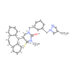 O=C(O)c1cnn(Cc2cccc(Cn3cc(C4c5ccccc5C=Cc5ccccc54)c(=S)n(C(=O)O)c3=O)c2)c1